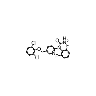 NC(=O)N(c1ccc(COc2c(Cl)cccc2Cl)cn1)c1c(F)cccc1F